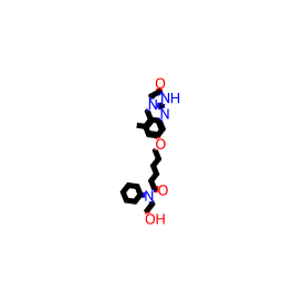 Cc1cc(OCCCCCC(=O)N(CCO)C2CCCCC2)cc2c1CN1CC(=O)NC1=N2